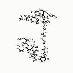 CN[C@@H](C)C(=O)N[C@H](C(=O)N1CCC[C@H]1c1nc(C(=O)c2cccc(OCCOCCOCCOCCOCCNC(=O)O[C@H]3C[C@@H](C)C=C4C=C[C@H](C)[C@H](CC[C@@H]5C[C@@H](O[Si](C)(C)C(C)(C)C)CC(=O)O5)[C@H]43)c2)cs1)C1CCCCC1